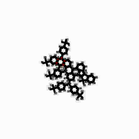 CC(C)(C)c1ccc(N(c2ccc(C(C)(C)C)cc2)c2ccc3c(c2)N(c2ccc(C(C)(C)C)cc2-c2ccccc2)c2cc(N(c4ccc(C(C)(C)C)cc4)c4ccc(C(C)(C)C)cc4)cc4c2B3c2cccc3c5c(n-4c23)C(C)(C)c2ccccc2-5)cc1